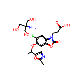 Cc1ncc(C(C)Oc2cc3oc(=O)n(CCC(=O)O)c3cc2Cl)o1.NC(CO)(CO)CO